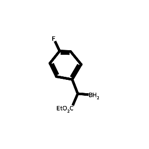 BC(C(=O)OCC)c1ccc(F)cc1